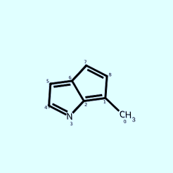 CC1=C2N=[C]C=C2C=C1